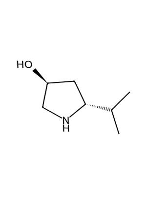 CC(C)[C@H]1C[C@H](O)CN1